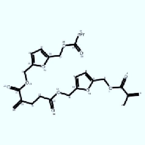 C=C(C)C(=O)OCc1ccc(COC(=O)CCC(=C)C(=O)OCc2ccc(COC(=O)CCC)o2)o1